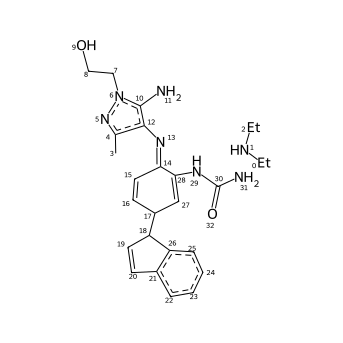 CCNCC.Cc1nn(CCO)c(N)c1N=C1C=CC(C2C=Cc3ccccc32)C=C1NC(N)=O